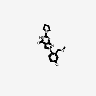 COCc1cc(Cl)ccc1-n1cc2c(=O)[nH]c(N3CCCC3)nc2n1